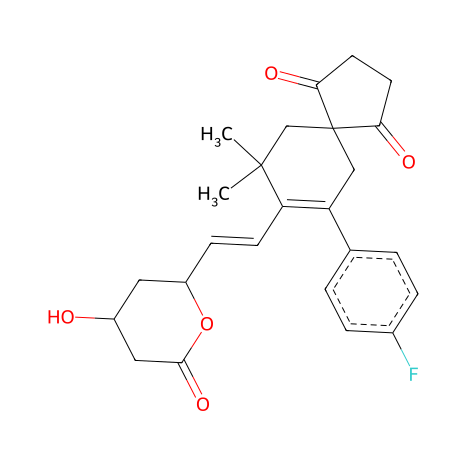 CC1(C)CC2(CC(c3ccc(F)cc3)=C1C=CC1CC(O)CC(=O)O1)C(=O)CCC2=O